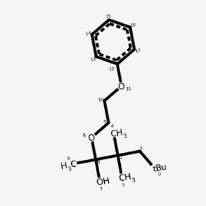 CC(C)(C)CC(C)(C)C(C)(O)OCCOc1ccccc1